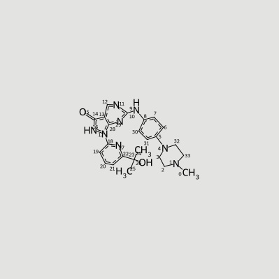 CN1CCN(c2ccc(Nc3ncc4c(=O)[nH]n(-c5cccc(C(C)(C)O)n5)c4n3)cc2)CC1